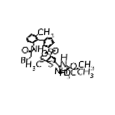 CSc1sc(C(=N)NC(=O)OC(C)(C)C)cc1S(=O)(=O)c1cccc(-c2c(C)cccc2NC(=O)CBr)c1